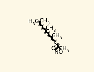 CC(C)=CCC/C(C)=C/CC/C(C)=C/CSC[C@H](C)C(=O)N=O